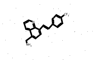 NCc1ccc(C=Cc2ccc(C(F)(F)F)cc2)c2ncccc12